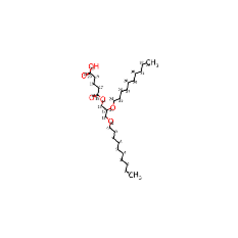 CCCCCCCCCCOCC(COC(=O)CCCC(=O)O)OCCCCCCCCCC